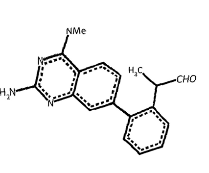 CNc1nc(N)nc2cc(-c3ccccc3C(C)C=O)ccc12